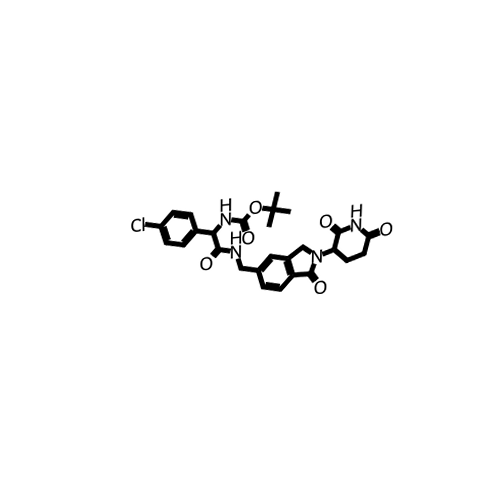 CC(C)(C)OC(=O)NC(C(=O)NCc1ccc2c(c1)CN(C1CCC(=O)NC1=O)C2=O)c1ccc(Cl)cc1